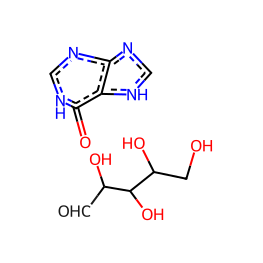 O=CC(O)C(O)C(O)CO.O=c1[nH]cnc2nc[nH]c12